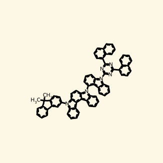 CC1(C)c2ccccc2-c2cc(-n3c4ccccc4c4c5c6ccccc6n(-c6cccc7c6c6ccccc6n7-c6nc(-c7cccc8ccccc78)nc(-c7cccc8ccccc78)n6)c5ccc43)ccc21